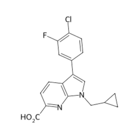 O=C(O)c1ccc2c(-c3ccc(Cl)c(F)c3)cn(CC3CC3)c2n1